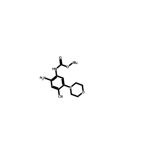 CC(C)(C)OC(=O)Nc1cc(N2CCOCC2)c(C#N)cc1N